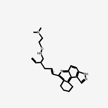 C=CC(C/C=C/c1nc2ccc3[nH]ncc3c2c2c1CCCC2)CNOCCN(C)C